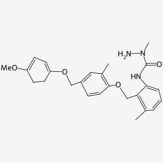 COC1=CC=C(OCc2ccc(OCc3c(C)cccc3NC(=O)N(C)N)c(C)c2)CC1